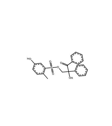 Cc1ccc(O)cc1S(=O)(=O)OCC(O)(C(=O)c1ccccc1)c1ccccc1